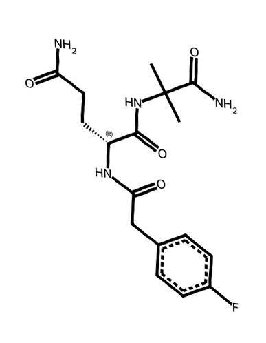 CC(C)(NC(=O)[C@@H](CCC(N)=O)NC(=O)Cc1ccc(F)cc1)C(N)=O